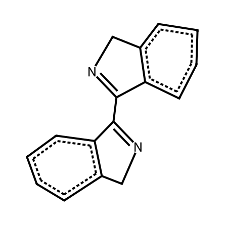 c1ccc2c(c1)CN=C2C1=NCc2ccccc21